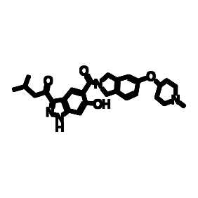 CC(C)CC(=O)c1n[nH]c2cc(O)c(C(=O)N3Cc4ccc(OC5CCN(C)CC5)cc4C3)cc12